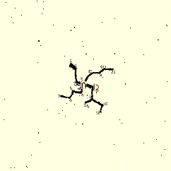 C=C[CH2][Sn]([CH2]CCC)([CH2]CCC)[CH2]C(C)CC